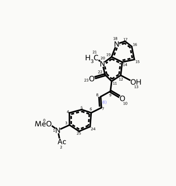 CON(C(C)=O)c1ccc(/C=C/C(=O)c2c(O)c3cccnc3n(C)c2=O)cc1